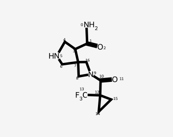 NC(=O)C1CNCC12CN(C(=O)C1(C(F)(F)F)CC1)C2